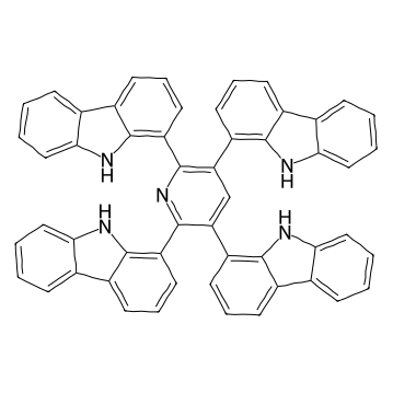 c1ccc2c(c1)[nH]c1c(-c3cc(-c4cccc5c4[nH]c4ccccc45)c(-c4cccc5c4[nH]c4ccccc45)nc3-c3cccc4c3[nH]c3ccccc34)cccc12